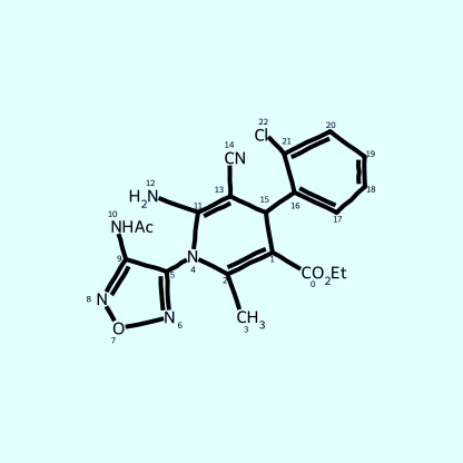 CCOC(=O)C1=C(C)N(c2nonc2NC(C)=O)C(N)=C(C#N)C1c1ccccc1Cl